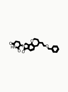 O=C1CCC(N2Cc3c(ccc4c3OCCC(CCOCc3ccccc3)C4)C2=O)C(=O)N1